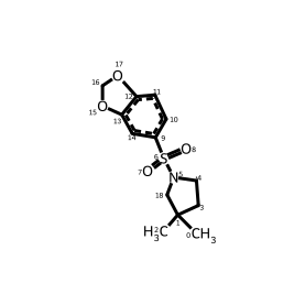 CC1(C)C[CH]N(S(=O)(=O)c2ccc3c(c2)OCO3)C1